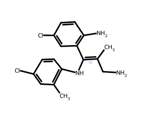 C/C(CN)=C(/Nc1ccc(Cl)cc1C)c1cc(Cl)ccc1N